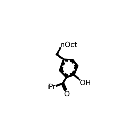 CCCCCCCCCc1ccc(O)c(C(=O)C(C)C)c1